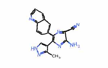 Cc1n[nH]cc1-c1nc(N)c(C#N)nc1-c1ccc2ncccc2c1